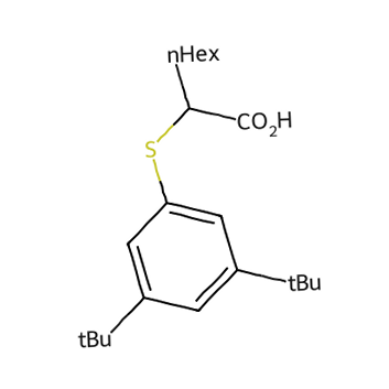 CCCCCCC(Sc1cc(C(C)(C)C)cc(C(C)(C)C)c1)C(=O)O